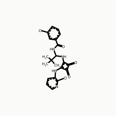 CC(C)(C)C(NC(=O)c1cccc(Cl)c1)Nc1c(Nc2cccnc2Cl)c(=O)c1=O